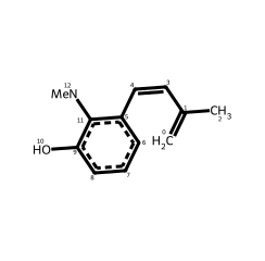 C=C(C)/C=C\c1cccc(O)c1NC